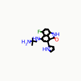 CC(C)(N)CNc1cc(-c2ccc[nH]2)c2c3c(ccc(F)c13)NC2=O